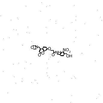 O=C(CCOc1ccc2c(CN3CCOCC3)cc(=O)oc2c1)NCc1ccc(CO)c([N+](=O)[O-])c1